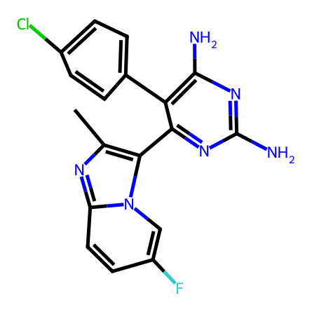 Cc1nc2ccc(F)cn2c1-c1nc(N)nc(N)c1-c1ccc(Cl)cc1